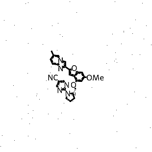 COc1cc(OC[C@@H]2CCCN2c2ncc(C#N)cn2)c2cc(-c3cn4cc(C)ccc4n3)oc2c1